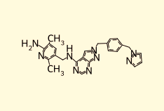 Cc1cc(CNc2ncnc3nn(Cc4ccc(Cn5cccn5)cc4)cc23)c(C)nc1N